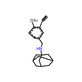 C#Cc1cc(CNC23CC4CC(CC(C4)C2)C3)ccc1OC(C)=O